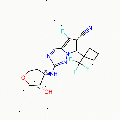 N#Cc1c(F)c2cnc(N[C@@H]3CCOC[C@H]3O)nn2c1C1(C(F)(F)F)CCC1